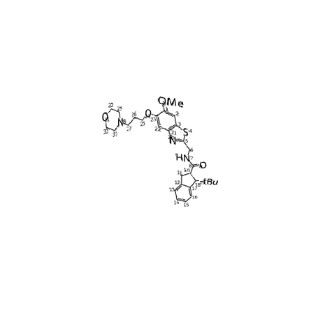 COc1cc2sc(CNC(=O)C3Cc4ccccc4C3C(C)(C)C)nc2cc1OCCCN1CCOCC1